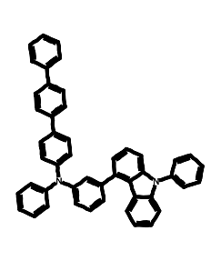 c1ccc(-c2ccc(-c3ccc(N(c4ccccc4)c4cccc(-c5cccc6c5c5ccccc5n6-c5ccccc5)c4)cc3)cc2)cc1